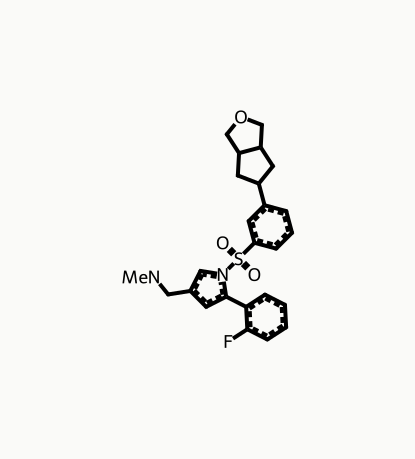 CNCc1cc(-c2ccccc2F)n(S(=O)(=O)c2cccc(C3CC4COCC4C3)c2)c1